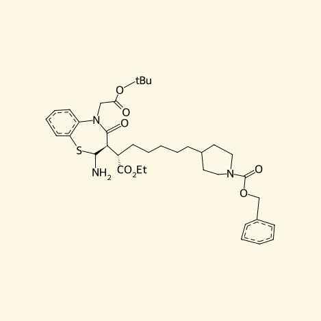 CCOC(=O)[C@@H](CCCCCC1CCN(C(=O)OCc2ccccc2)CC1)[C@@H]1C(=O)N(CC(=O)OC(C)(C)C)c2ccccc2SC1N